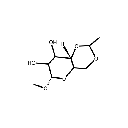 CO[C@H]1OC2COC(C)O[C@H]2C(O)C1O